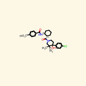 CC1(C)CN(C(=O)[C@H]2CCCC[C@H]2NC(=O)c2ccc(C(=O)O)cc2)CC[C@]1(O)c1ccc(Cl)cc1